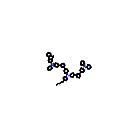 CCCCCc1ccc(N(c2ccc(-c3cccc(-c4ccc(N(c5ccccc5)c5ccccc5)cc4)c3)cc2)c2ccc(-c3cccc(-c4ccc(N(c5ccccc5)c5ccc6c(c5)C(C)(C)c5ccccc5-6)cc4)c3)cc2)cc1